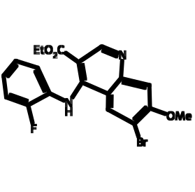 CCOC(=O)c1cnc2cc(OC)c(Br)cc2c1Nc1ccccc1F